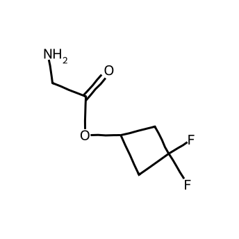 NCC(=O)OC1CC(F)(F)C1